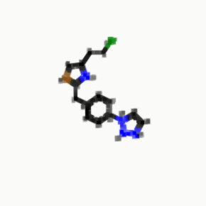 BrCCc1csc(Cc2ccc(-n3ccnn3)cc2)n1